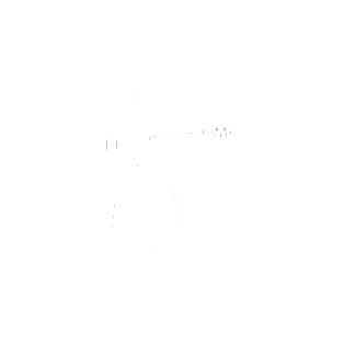 CCC1(C(=O)OC)CCCCC1